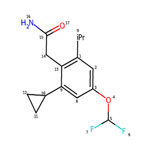 CC(C)c1cc(OC(F)F)cc(C2CC2)c1CC(N)=O